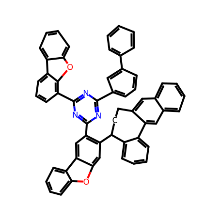 c1ccc(-c2cccc(-c3nc(-c4cc5c(cc4C4CCc6cc7ccccc7cc6-c6ccccc64)oc4ccccc45)nc(-c4cccc5c4oc4ccccc45)n3)c2)cc1